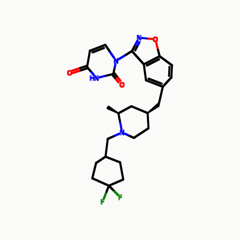 C[C@H]1C[C@@H](Cc2ccc3onc(-n4ccc(=O)[nH]c4=O)c3c2)CCN1CC1CCC(F)(F)CC1